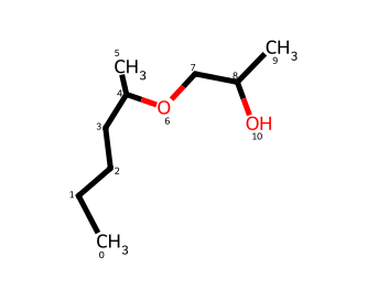 CCCCC(C)OCC(C)O